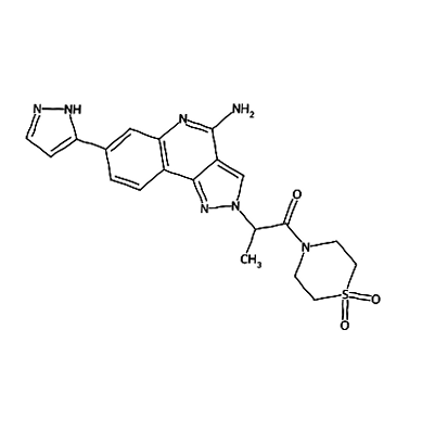 CC(C(=O)N1CCS(=O)(=O)CC1)n1cc2c(N)nc3cc(-c4ccn[nH]4)ccc3c2n1